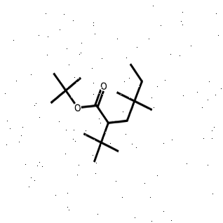 CCC(C)(C)CC(C(=O)OC(C)(C)C)C(C)(C)C